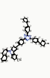 N#Cc1ccc2c(c1)c1cc(-c3ccc(-c4nc(-c5ccc(-c6ccccc6)cc5)nc(-c5ccc(-c6ccccc6)cc5)n4)cc3)ccc1n2-c1cccc2ccccc12